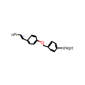 CCC/C=C/c1ccc(OCc2ccc(CCCCCCC)cc2)cc1